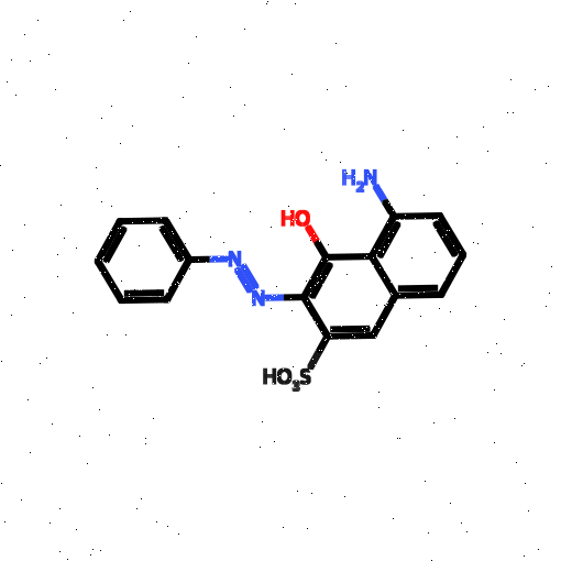 Nc1cccc2cc(S(=O)(=O)O)c(/N=N/c3ccccc3)c(O)c12